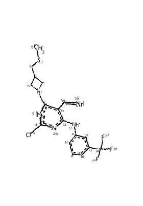 CSCC1CN(c2nc(Cl)nc(Nc3cccc(C(F)(F)F)c3)c2C=N)C1